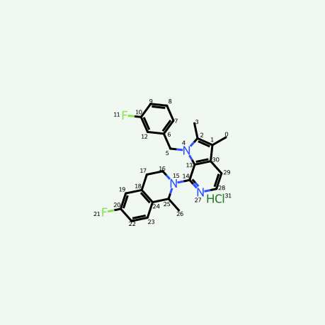 Cc1c(C)n(Cc2cccc(F)c2)c2c(N3CCc4cc(F)ccc4C3C)nccc12.Cl